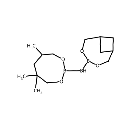 CC1COB(BB2OCC3CC(CO2)C3)OCC(C)(C)C1